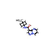 O=C(NC12CCC1(C(=O)O)CC2)c1cnn2cccnc12